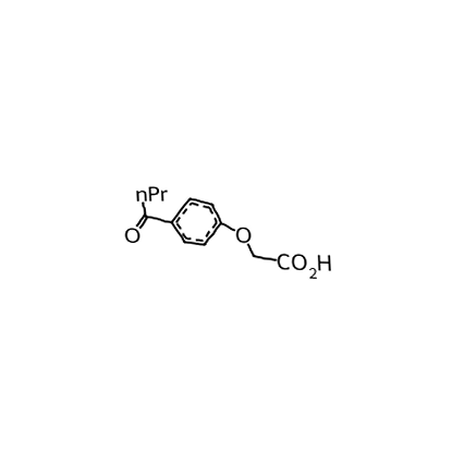 CCCC(=O)c1ccc(OCC(=O)O)cc1